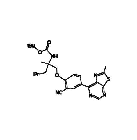 Cc1nc2c(-c3ccc(OCC(C)(CC(C)C)NC(=O)OC(C)(C)C)c(C#N)c3)ncnc2s1